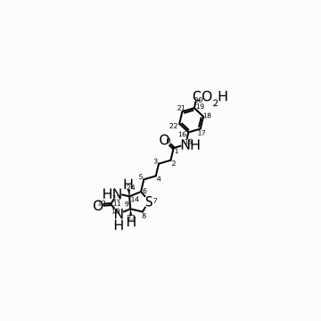 O=C(CCCCC1SC[C@@H]2NC(=O)N[C@H]12)Nc1ccc(C(=O)O)cc1